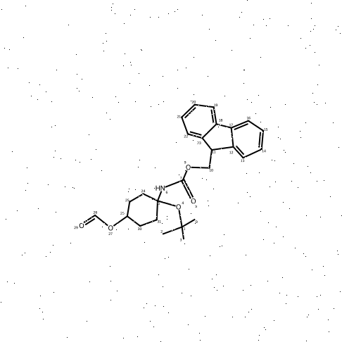 CC(C)(C)OC1(NC(=O)OCC2c3ccccc3-c3ccccc32)CCC(OC=O)CC1